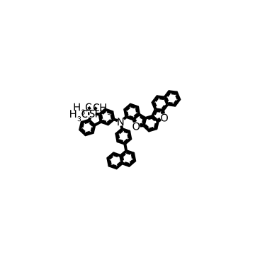 C[SH]1(C)(C)c2ccccc2-c2cc(N(c3ccc(-c4cccc5ccccc45)cc3)c3cccc4c3oc3ccc5oc6c7ccccc7ccc6c5c34)ccc21